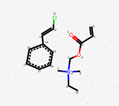 C=CC(=O)OC[N+](C)(C)CC.ClC=Cc1ccccc1